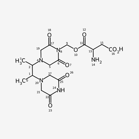 CC(C(C)N1CC(=O)N(COC(=O)C(N)CC(=O)O)C(=O)C1)N1CC(=O)NC(=O)C1